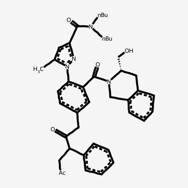 CCCCN(CCCC)C(=O)c1cc(C)n(-c2ccc(CC(=O)C(CC(C)=O)c3ccccc3)cc2C(=O)N2Cc3ccccc3C[C@H]2CO)n1